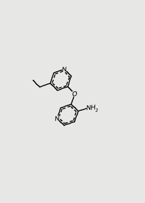 CCc1cncc(Oc2cnccc2N)c1